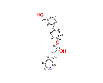 OCc1cccc(-c2ccc(OCC(O)CCc3cccnc3)cc2)c1